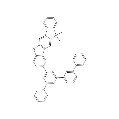 CC1(C)c2ccccc2-c2cc3oc4ccc(-c5nc(-c6ccccc6)nc(-c6cccc(-c7ccccc7)c6)n5)cc4c3cc21